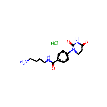 Cl.NCCCCNC(=O)c1ccc(N2CCC(=O)NC2=O)cc1